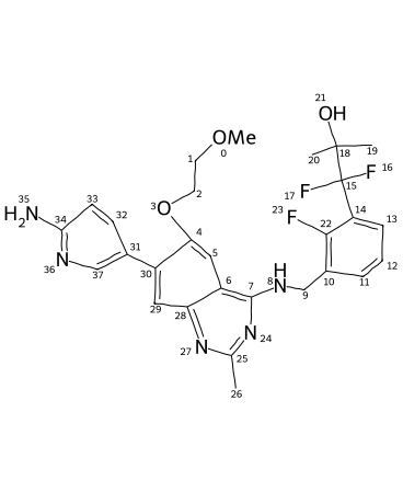 COCCOc1cc2c(NCc3cccc(C(F)(F)C(C)(C)O)c3F)nc(C)nc2cc1-c1ccc(N)nc1